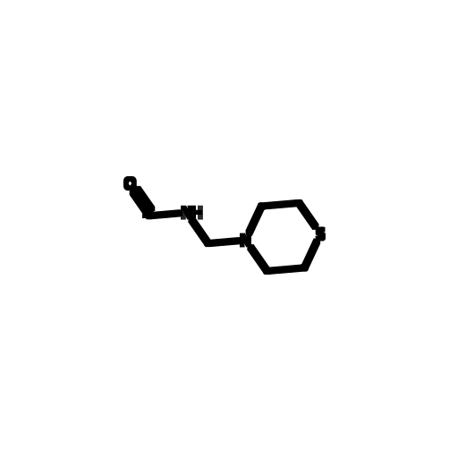 O=[C]NCN1CCSCC1